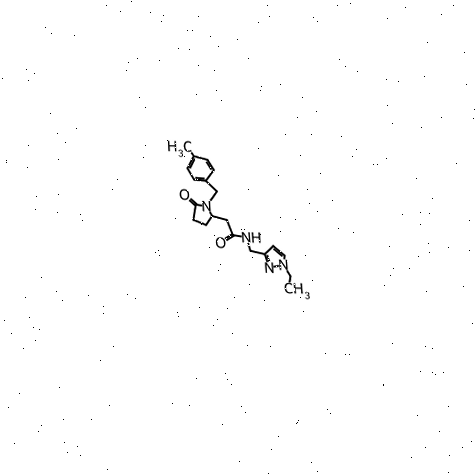 CCn1ccc(CNC(=O)CC2CCC(=O)N2Cc2ccc(C)cc2)n1